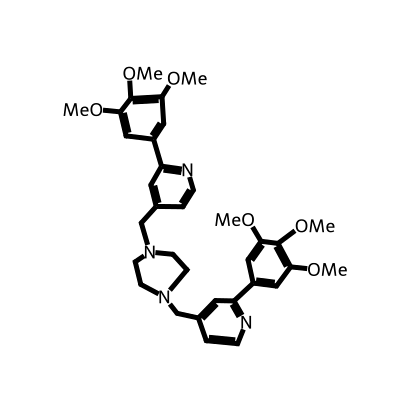 COc1cc(-c2cc(CN3CCN(Cc4ccnc(-c5cc(OC)c(OC)c(OC)c5)c4)CC3)ccn2)cc(OC)c1OC